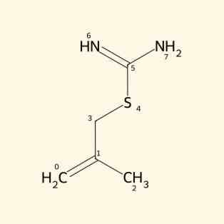 C=C(C)CSC(=N)N